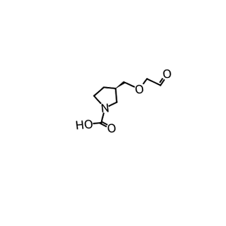 O=CCOC[C@@H]1CCN(C(=O)O)C1